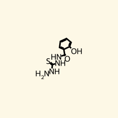 NNC(=S)NNC(=O)c1ccccc1O